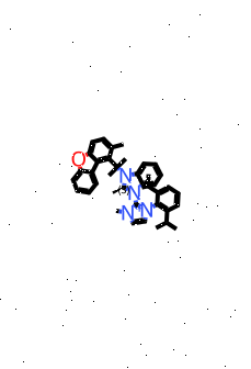 Cc1ccc2oc3ccccc3c2c1C(C)(C)N1c2ccccc2N(c2n(-c3c(C(C)C)cccc3C(C)C)cc[n+]2C)[C@H]1C